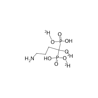 [2H]OC(CCCN)(P(=O)(O)O[2H])P(=O)(O)O[2H]